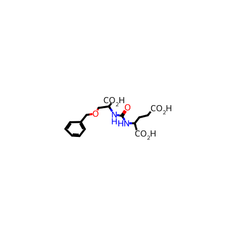 O=C(O)CCC(NC(=O)NC(COCc1ccccc1)C(=O)O)C(=O)O